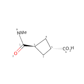 CNC(=O)[C@H]1C[C@H](C(=O)O)C1